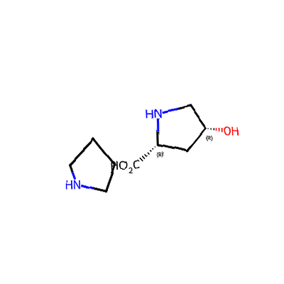 C1CCNC1.O=C(O)[C@H]1C[C@@H](O)CN1